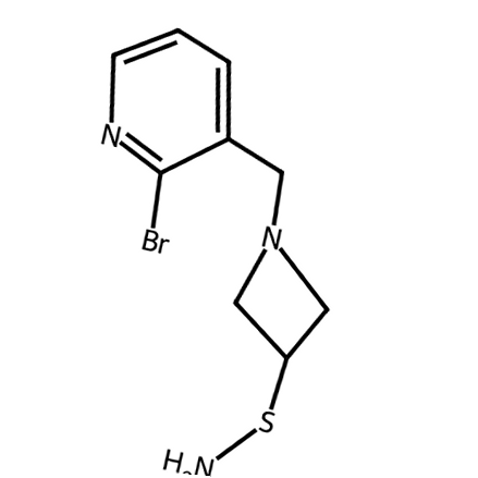 NSC1CN(Cc2cccnc2Br)C1